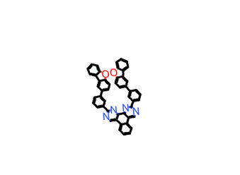 c1cc(-c2ccc3oc4ccccc4c3c2)cc(-c2ncc3c4ccccc4c4cnc(-c5cccc(-c6ccc7oc8ccccc8c7c6)c5)nc4c3n2)c1